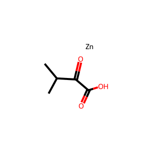 CC(C)C(=O)C(=O)O.[Zn]